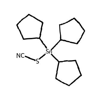 N#C[S][Sn]([CH]1CCCC1)([CH]1CCCC1)[CH]1CCCC1